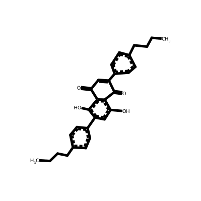 CCCCc1ccc(C2=CC(=O)c3c(O)c(-c4ccc(CCCC)cc4)cc(O)c3C2=O)cc1